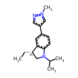 CC[C@H]1CN(C(C)C)c2ccc(-c3cnn(C)c3)cc21